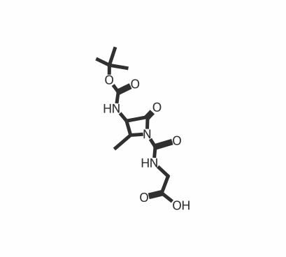 CC1C(NC(=O)OC(C)(C)C)C(=O)N1C(=O)NCC(=O)O